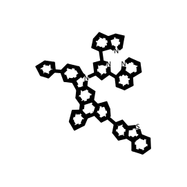 c1ccc(-c2ccc3c(c2)c2cc4c5ccccc5c5cc(-c6ccc7c(c6)sc6ccccc67)ccc5c4cc2n3-c2cc(-c3cccc4cccnc34)nc(-c3cccc4cccnc34)c2)cc1